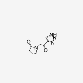 O=C(CN1CCCC1=O)c1c[nH]nn1